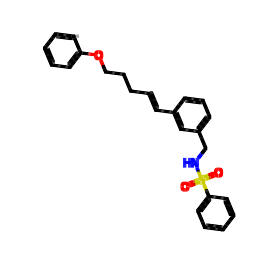 O=S(=O)(NCc1cccc(/C=C/CCCOc2[c]cccc2)c1)c1ccccc1